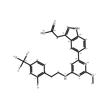 COc1nc(NCCc2ccc(C(F)(F)F)cc2F)cc(-c2ccc3[nH]cc(CC(=O)O)c3c2)n1